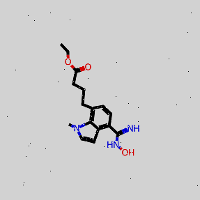 CCOC(=O)CCCc1ccc(C(=N)NO)c2ccn(C)c12